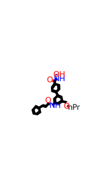 CCCOCc1cc(NC(=O)/C=C/c2ccccc2)cc(-c2ccc(C(=O)NO)cc2)c1